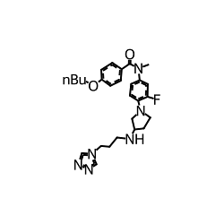 CCCCOc1ccc(C(=O)N(C)c2ccc(N3CCC(NCCCn4cnnc4)C3)c(F)c2)cc1